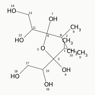 CC(C)C(O)(OC(O)(C(C)C)C(O)CO)C(O)CO